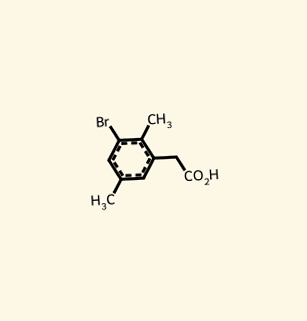 Cc1cc(Br)c(C)c(CC(=O)O)c1